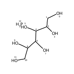 OCC(O)C(O)C(O)C(O)CO.P